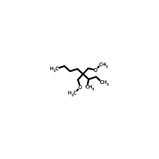 CCCCC(COC)(COC)C(C)CC